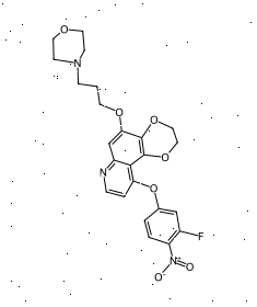 O=[N+]([O-])c1ccc(Oc2ccnc3cc(OCCCN4CCOCC4)c4c(c23)OCCO4)cc1F